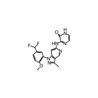 COc1ccc(C(F)F)cc1-n1nc(C)c2cnc(Nc3ncc[nH]c3=O)cc21